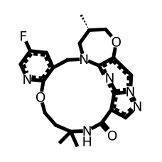 C[C@@H]1COc2cn3ncc4c3nc2N(Cc2cc(F)cnc2OCCC(C)(C)NC4=O)C1